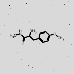 CNC(=O)C(N)Cc1ccc(OC)cc1